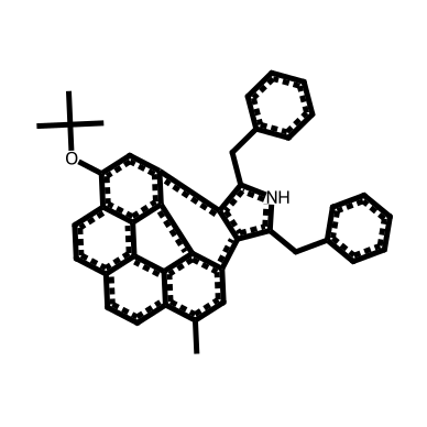 Cc1cc2c3c(Cc4ccccc4)[nH]c(Cc4ccccc4)c3c3cc(OC(C)(C)C)c4ccc5ccc1c1c5c4c3c21